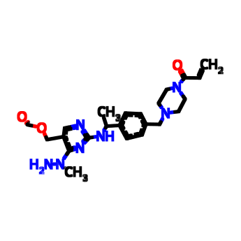 C=CC(=O)N1CCN(Cc2ccc(C(C)Nc3ncc(COC=O)c(N(C)N)n3)cc2)CC1